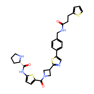 O=C(CCc1cccs1)NCc1ccc(-c2cnc(C3CN(C(=O)c4ccc(NC(=O)[C@@H]5CCCN5)s4)C3)s2)cc1